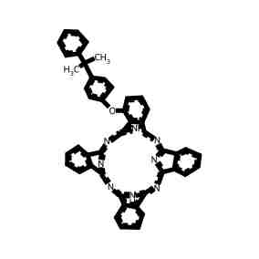 CC(C)(c1ccccc1)c1ccc(Oc2cccc3c4nc5nc(nc6[nH]c(nc7nc(nc([nH]4)c23)-c2ccccc2-7)c2ccccc62)-c2ccccc2-5)cc1